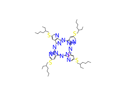 CCCCC(CC)CSc1cnc2c(c1)-c1nc3[nH]c(nc4[n+](I)c(nc5[nH]c(nc-2[n+]1C)c1cc(SCC(CC)CCCC)cnc51)-c1cc(SCC(CC)CCCC)cnc1-4)c1cc(SCC(CC)CCCC)cnc31